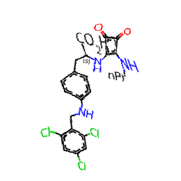 CCCNc1c(N[C@@H](Cc2ccc(NCc3c(Cl)cc(Cl)cc3Cl)cc2)C(=O)O)c(=O)c1=O